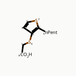 CCCCCc1sccc1SCC(=O)O